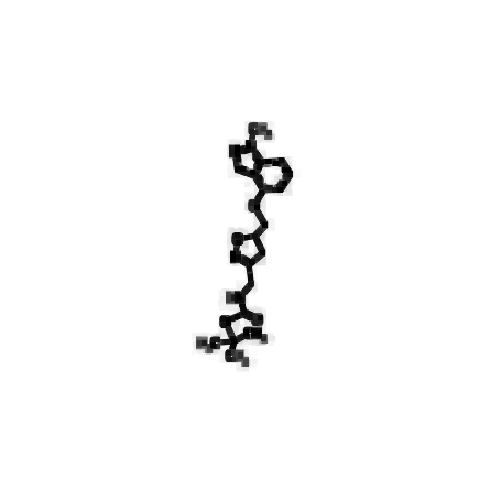 Cn1ncc2c(OCC3CC(CNC(=O)OC(C)(C)C)=NO3)cccc21